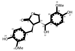 COc1cc(C[C@H]2C(=O)OC[C@@H]2C(O)c2ccc(O)c(OC)c2)ccc1O